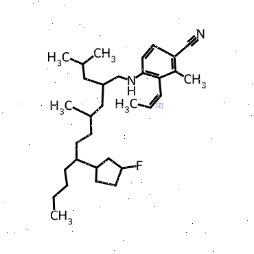 C/C=C\c1c(NCC(CC(C)C)CC(C)CCC(CCCC)C2CCC(F)C2)ccc(C#N)c1C